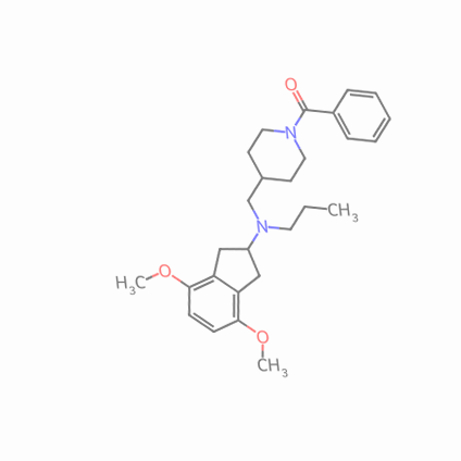 CCCN(CC1CCN(C(=O)c2ccccc2)CC1)C1Cc2c(OC)ccc(OC)c2C1